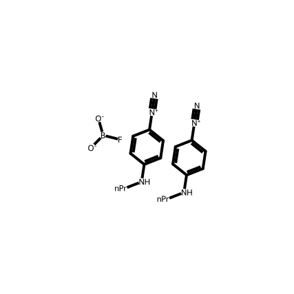 CCCNc1ccc([N+]#N)cc1.CCCNc1ccc([N+]#N)cc1.[O-]B([O-])F